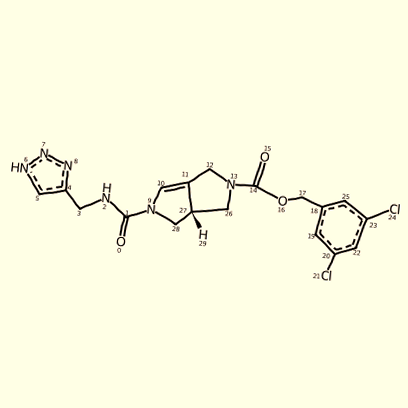 O=C(NCc1c[nH]nn1)N1C=C2CN(C(=O)OCc3cc(Cl)cc(Cl)c3)C[C@@H]2C1